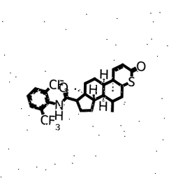 CC1CC2SC(=O)C=C[C@]2(C)[C@@H]2CC[C@]3(C)C(C(=O)Nc4c(C(F)(F)F)cccc4C(F)(F)F)CC[C@H]3[C@H]12